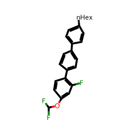 CCCCCCc1ccc(-c2ccc(-c3ccc(OC(F)F)cc3F)cc2)cc1